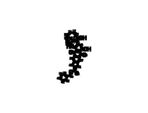 CC(C)[C@@]12O[C@]13c1cc(O)c4c(c1N[C@H]2C#C/C=C\C#C[C@H]3O)C(=O)c1cc2c(cc1C4=O)CN(C(=O)OCc1ccccc1)C2